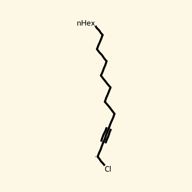 CCCCCCCCCCCCCC#C[CH]Cl